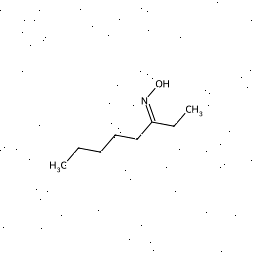 CCCCCC(CC)=NO